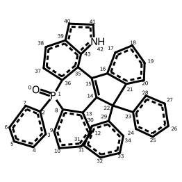 O=P1(c2ccccc2)c2ccccc2C2=C(c3ccccc3C2(c2ccccc2)c2ccccc2)c2c1ccc1cc[nH]c21